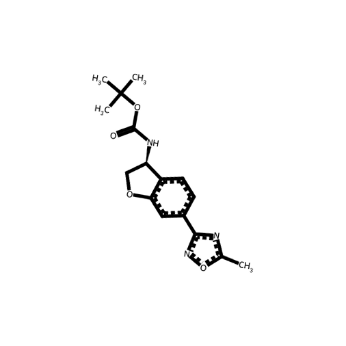 Cc1nc(-c2ccc3c(c2)OC[C@H]3NC(=O)OC(C)(C)C)no1